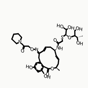 C[C@@H]1C/C=C/[C@@H](NC(=O)CS[C@H](OC(CO)[C@H](C)O)C(O)O)C/C=C/C(=N/OCC(=O)N2CCCCC2)Cc2cc(O)cc(O)c2C(=O)O1